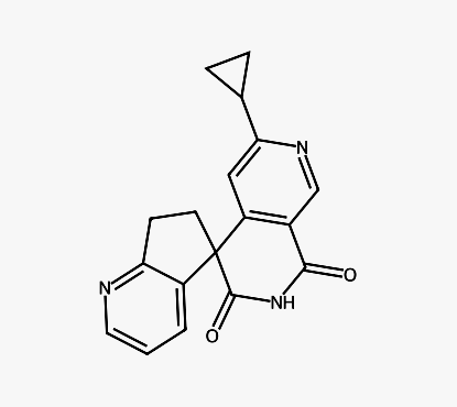 O=C1NC(=O)C2(CCc3ncccc32)c2cc(C3CC3)ncc21